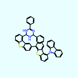 c1ccc(C2=NC(c3ccccc3)NC(c3cccc4sc5ccc(-c6cccc7c6sc6cccc(-n8c9ccccc9c9ccccc98)c67)cc5c34)N2)cc1